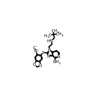 [C-]#[N+]c1cc2c(cc1Sc1nc3c(N)nccc3n1CCNCC(C)(C)C)OCO2